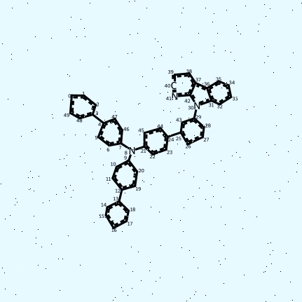 c1ccc(-c2ccc(N(c3ccc(-c4ccccc4)cc3)c3ccc(-c4cccc(-n5c6ccccc6c6cccnc65)c4)cc3)cc2)cc1